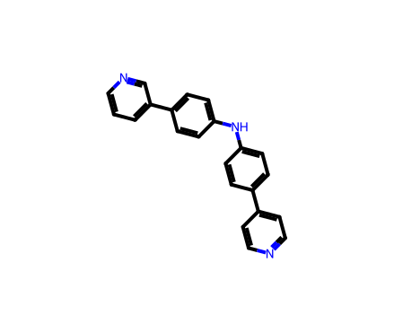 c1cncc(-c2ccc(Nc3ccc(-c4ccncc4)cc3)cc2)c1